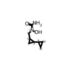 NC(=O)N(O)CC1CC1C1CC1